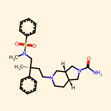 CN(C[C@@](C)(CCN1CC[C@H]2CN(C(N)=O)C[C@H]2C1)c1ccccc1)S(=O)(=O)c1ccccc1